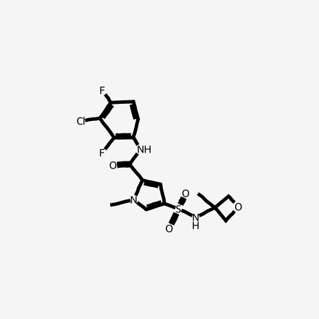 Cn1cc(S(=O)(=O)NC2(C)COC2)cc1C(=O)Nc1ccc(F)c(Cl)c1F